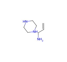 C1CNCCN1.C=CCN